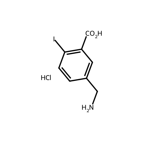 Cl.NCc1ccc(I)c(C(=O)O)c1